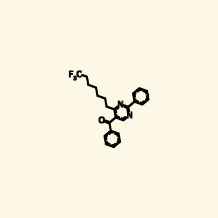 O=C(c1ccccc1)c1cnc(-c2ccccc2)nc1CCCCCCC(F)(F)F